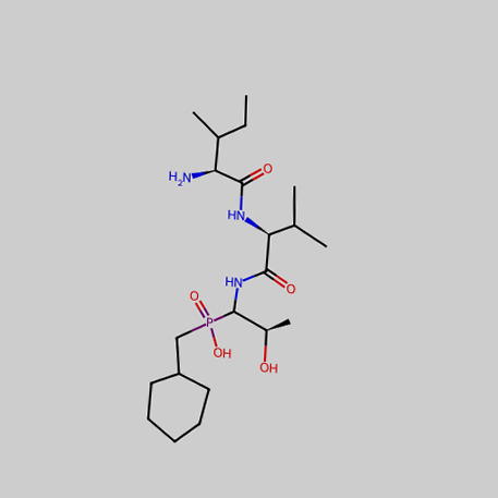 CCC(C)[C@H](N)C(=O)N[C@H](C(=O)NC([C@@H](C)O)P(=O)(O)CC1CCCCC1)C(C)C